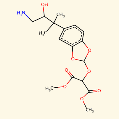 COC(=O)C(OC1Oc2ccc(C(C)(C)C(O)CN)cc2O1)C(=O)OC